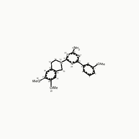 COc1cccc(-c2nc(N)nc(N3CCc4cc(OC)c(OC)cc4C3)n2)c1